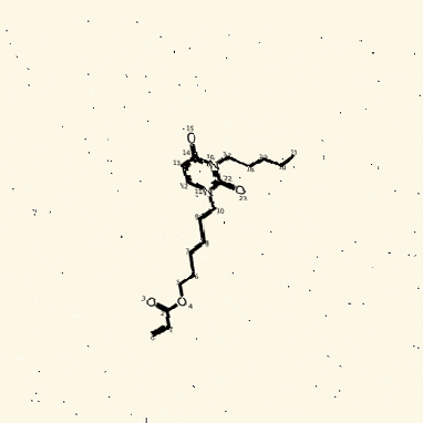 C=CC(=O)OCCCCCCn1ccc(=O)n(CCCCC)c1=O